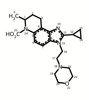 CC1CCc2c(ccc3c2nc(C2CC2)n3CCN2CCOCC2)N1C(=O)O